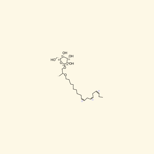 [CH2]C(CO[C@H]1O[C@H](CO)[C@H](O)[C@H](O)[C@H]1O)OCCCCCCCC/C=C\C/C=C\C/C=C\CC